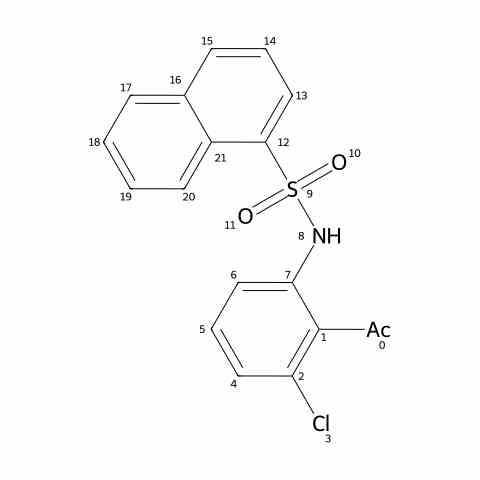 CC(=O)c1c(Cl)cccc1NS(=O)(=O)c1cccc2ccccc12